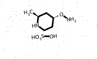 C[C@H]1C[C@H](ON)CCN1.O=S(=O)(O)O